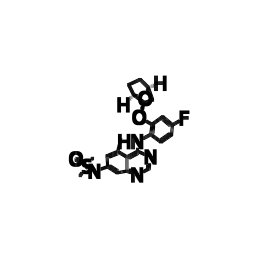 Cc1cc(N=S(C)(C)=O)cc2ncnc(Nc3ccc(F)cc3O[C@@H]3C[C@@H]4CC[C@H]3O4)c12